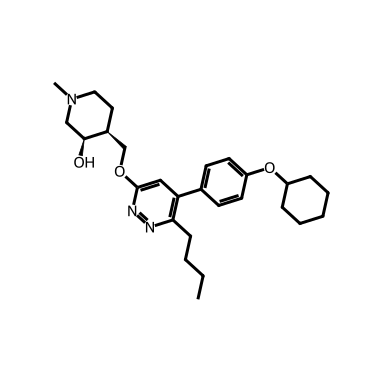 CCCCc1nnc(OC[C@@H]2CCN(C)C[C@@H]2O)cc1-c1ccc(OC2CCCCC2)cc1